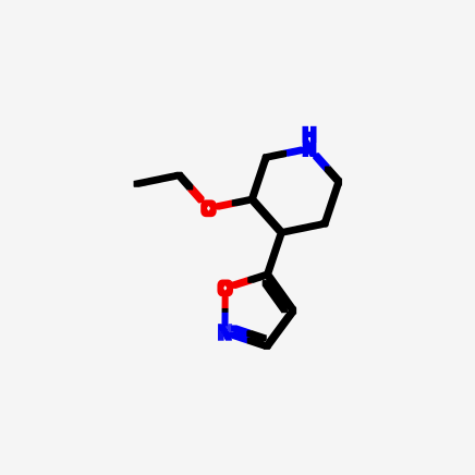 CCOC1CNCCC1c1ccno1